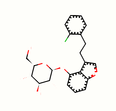 OC[C@H]1O[C@@H](Oc2cccc3occ(CCc4ccccc4Cl)c23)[C@H](O)[C@@H](O)[C@@H]1O